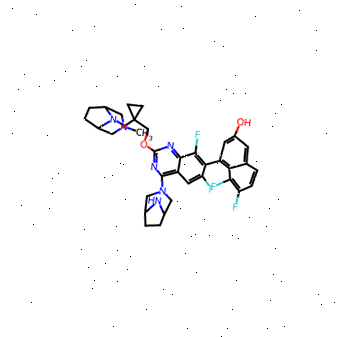 CN1CC2CCC(C1)N2CC1(COc2nc(N3CC4CCC(C3)N4)c3cc(F)c(-c4cc(O)cc5ccc(F)c(F)c45)c(F)c3n2)CC1